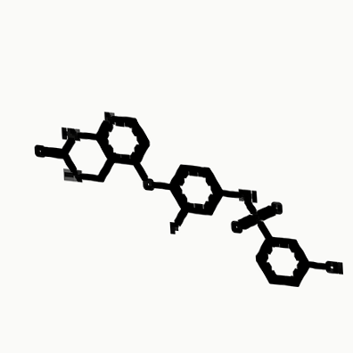 N#Cc1cccc(S(=O)(=O)Nc2ccc(Oc3ccnc4c3CNC(=O)N4)c(F)c2)c1